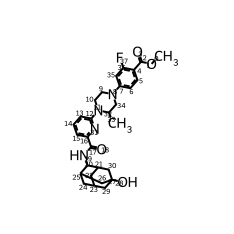 COC(=O)c1ccc(N2CCN(c3cccc(C(=O)NC4C5CC6CC4CC(O)(C6)C5)n3)C(C)C2)cc1F